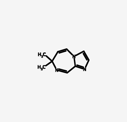 CC1(C)C=Cn2ccnc2C=N1